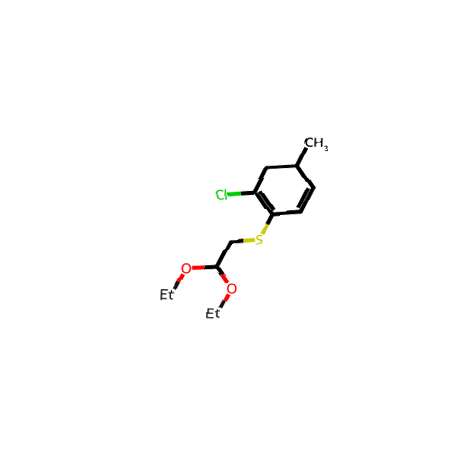 CCOC(CSC1=C(Cl)CC(C)C=C1)OCC